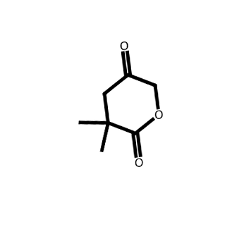 CC1(C)CC(=O)COC1=O